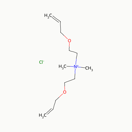 C=CCOCC[N+](C)(C)CCOCC=C.[Cl-]